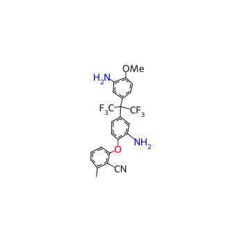 COc1ccc(C(c2ccc(Oc3cccc(C)c3C#N)c(N)c2)(C(F)(F)F)C(F)(F)F)cc1N